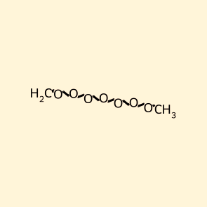 C=COCCOCCOCCOCCOCCOCCOCC